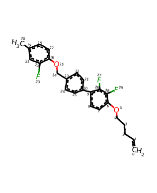 C=CCCCOc1ccc(-c2ccc(COc3ccc(C)cc3F)cc2)c(F)c1F